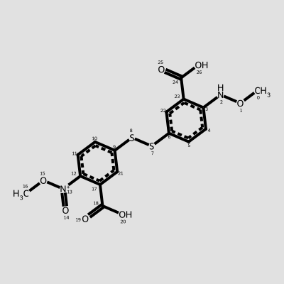 CONc1ccc(SSc2ccc([N+](=O)OC)c(C(=O)O)c2)cc1C(=O)O